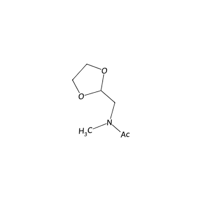 [CH2]C(=O)N(C)CC1OCCO1